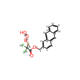 O=C(OCc1ccc2cc3ccccc3cc2c1)C(F)(F)SOOO